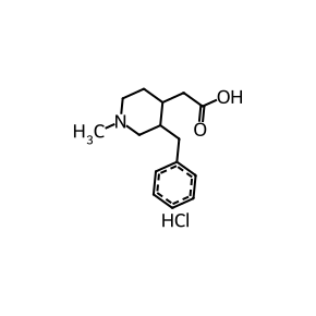 CN1CCC(CC(=O)O)C(Cc2ccccc2)C1.Cl